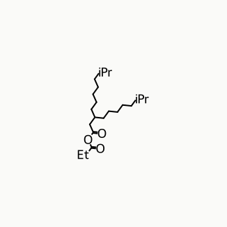 CCC(=O)OC(=O)CC(CCCCCC(C)C)CCCCCC(C)C